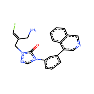 NC/C(=C\F)Cn1ncn(-c2cccc(-c3cncc4ccccc34)c2)c1=O